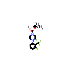 CC(C)(C)OC(=O)N1CCN(c2cccc(F)c2C(F)(F)F)CC1